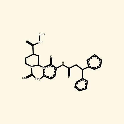 C=C(NC=O)C1CCN(C(=N)N)C(n2c(C)ccc(NC(=O)CC(c3ccccc3)c3ccccc3)c2=O)C1